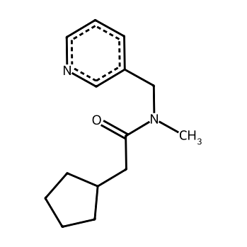 CN(Cc1cccnc1)C(=O)CC1CCCC1